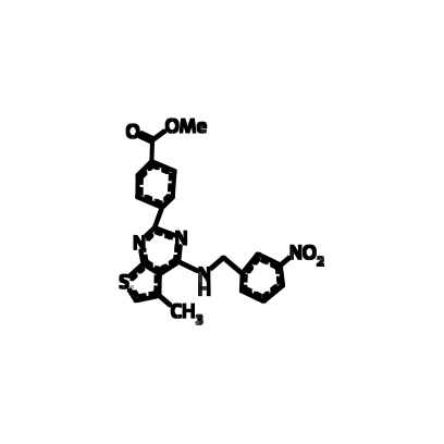 COC(=O)c1ccc(-c2nc(NCc3cccc([N+](=O)[O-])c3)c3c(C)csc3n2)cc1